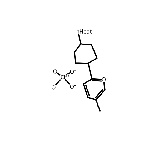 CCCCCCCC1CCC(c2ccc(C)c[o+]2)CC1.[O-][Cl+3]([O-])([O-])[O-]